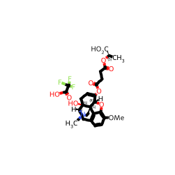 COc1ccc2c3c1O[C@H]1C(OC(=O)CCC(=O)O[C@@H](C)C(=O)O)=CC[C@@]4(O)[C@@H](C2)N(C)CC[C@]314.O=C(O)C(F)(F)F